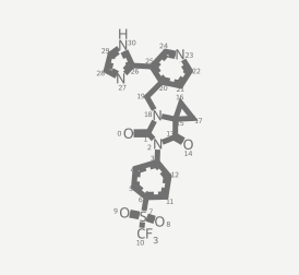 O=C1N(c2ccc(S(=O)(=O)C(F)(F)F)cc2)C(=O)C2(CC2)N1Cc1ccncc1-c1ncc[nH]1